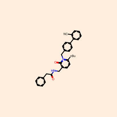 CCCCc1ccc(CNC(=O)Cc2ccccc2)c(=O)n1Cc1ccc(-c2ccccc2C#N)cc1